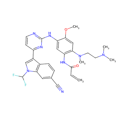 C=CC(=O)Nc1cc(Nc2nccc(-c3cn(C(F)F)c4cc(C#N)ccc34)n2)c(OC)cc1N(C)CCN(C)C